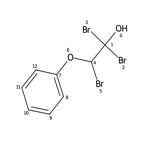 OC(Br)(Br)C(Br)Oc1ccccc1